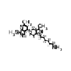 Cc1cc(N2CCc3c(c(C)nn3CCCCCCN)C2)c2cnn(C)c2n1